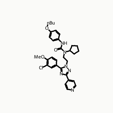 CCCCOc1ccc(NC(=O)N(CCn2nc(-c3ccncc3)nc2-c2ccc(OC)c(Cl)c2)C2CCCC2)cc1